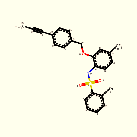 CC(C)c1ccccc1S(=O)(=O)Nc1ccc(C(F)(F)F)cc1OCc1ccc(C#CC(=O)O)cc1